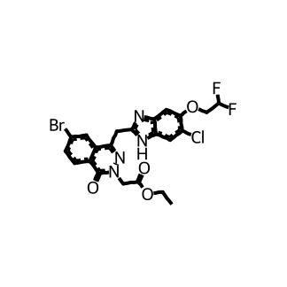 CCOC(=O)Cn1nc(Cc2nc3cc(OCC(F)F)c(Cl)cc3[nH]2)c2cc(Br)ccc2c1=O